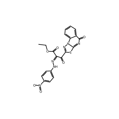 CCOC(=O)/C(=N/Nc1ccc([N+](=O)[O-])cc1)C(=O)c1nn2c(nc(=O)c3ccccc32)s1